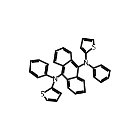 c1ccc(N(c2cccs2)c2c3ccccc3c(N(c3ccccc3)c3cccs3)c3ccccc23)cc1